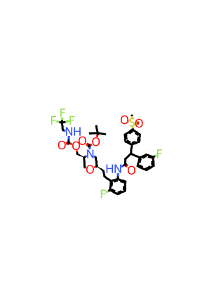 CC(C)(C)OC(=O)N1C[C@@H](CCc2c(F)cccc2NC(=O)CC(c2ccc(S(C)(=O)=O)cc2)c2cccc(F)c2)OC[C@H]1COC(=O)NCC(F)(F)F